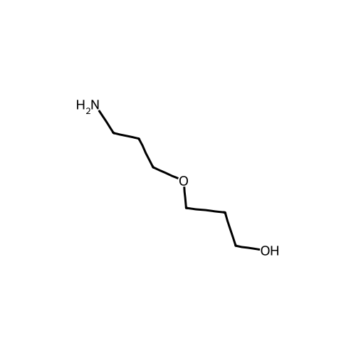 NCCCOCCCO